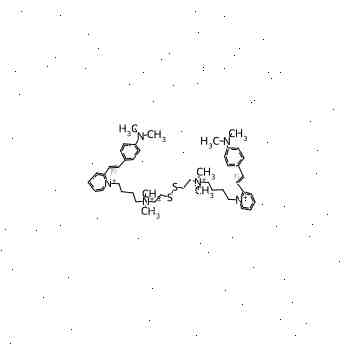 CN(C)c1ccc(/C=C/c2cccc[n+]2CCCC[N+](C)(C)CCSSCC[N+](C)(C)CCCC[n+]2ccccc2/C=C/c2ccc(N(C)C)cc2)cc1